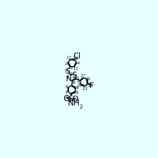 NS(=O)(=O)c1ccc(-c2nc(Sc3ccc(Cl)cc3)sc2-c2ccc(F)cc2)cc1